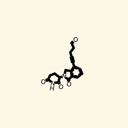 O=CCCC#Cc1cccc2c1CN(C1CCC(=O)NC1=O)C2=O